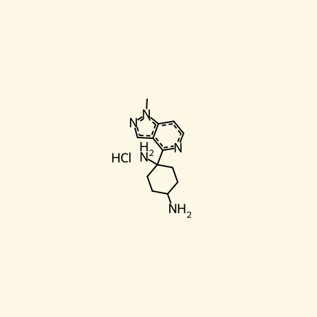 Cl.Cn1ncc2c(C3(N)CCC(N)CC3)nccc21